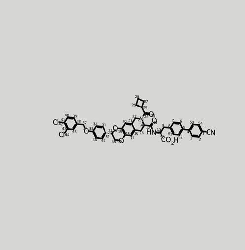 N#Cc1ccc(-c2ccc(C[C@H](NC(=O)C3Cc4cc5c(cc4CN3C(=O)C3CCC3)O[C@@H](c3ccc(OCc4ccc(Cl)c(Cl)c4)cc3)CO5)C(=O)O)cc2)cc1